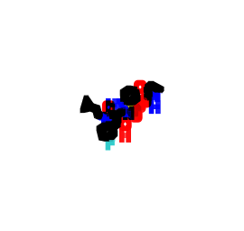 O=C1NCCC1Oc1ccc2c(c1)S(=O)(=O)N=C(c1c(O)c3cc(F)ccc3n(CCC3CC3)c1=O)N2